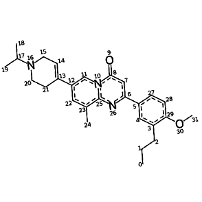 CCCc1cc(-c2cc(=O)n3cc(C4=CCN(C(C)C)CC4)cc(C)c3n2)ccc1OC